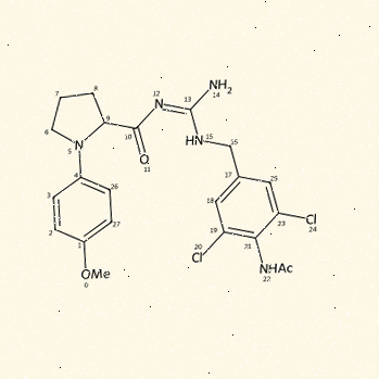 COc1ccc(N2CCCC2C(=O)N=C(N)NCc2cc(Cl)c(NC(C)=O)c(Cl)c2)cc1